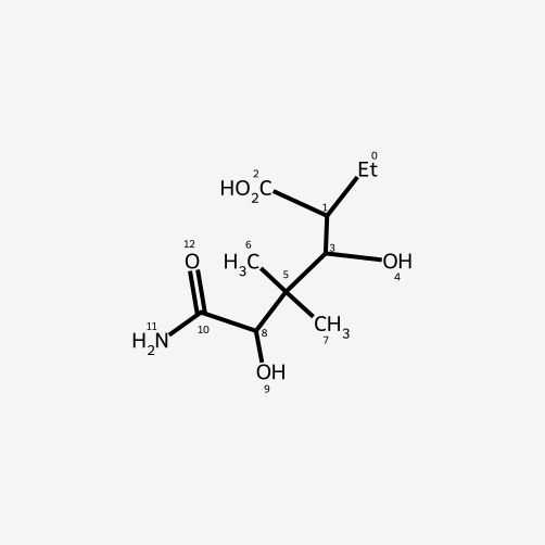 CCC(C(=O)O)C(O)C(C)(C)C(O)C(N)=O